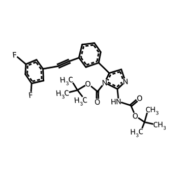 CC(C)(C)OC(=O)Nc1ncc(-c2cccc(C#Cc3cc(F)cc(F)c3)c2)n1C(=O)OC(C)(C)C